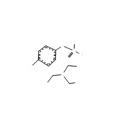 CCN(CC)CC.CP(=S)(S)Sc1ccc(Cl)cc1